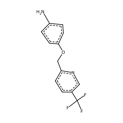 Nc1ccc(OCc2ccc(C(F)(F)F)cn2)cc1